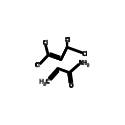 C=CC(N)=O.ClC(Cl)=CC(Cl)Cl